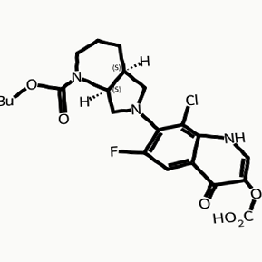 CC(C)(C)OC(=O)N1CCC[C@H]2CN(c3c(F)cc4c(=O)c(OC(=O)O)c[nH]c4c3Cl)C[C@H]21